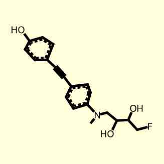 CN(CC(O)C(O)CF)c1ccc(C#Cc2ccc(O)cc2)cc1